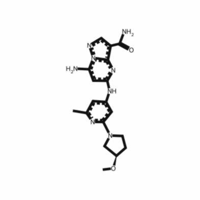 CO[C@@H]1CCN(c2cc(Nc3cc(N)n4ncc(C(N)=O)c4n3)cc(C)n2)C1